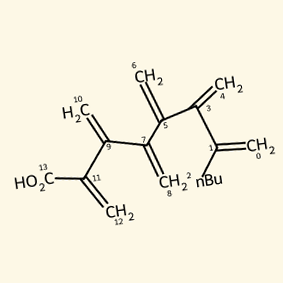 C=C(CCCC)C(=C)C(=C)C(=C)C(=C)C(=C)C(=O)O